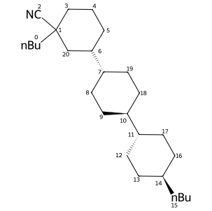 CCCCC1(C#N)CCCC([C@H]2CC[C@H]([C@H]3CC[C@H](CCCC)CC3)CC2)C1